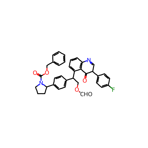 O=COCC(c1ccc(C2CCCN2C(=O)OCc2ccccc2)cc1)c1cccc2c1C(=O)C(c1ccc(F)cc1)C=N2